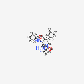 Cc1ccc(C2CC(NC(=O)c3ccccc3)CN(C(=O)C3(N)CCC3)C2)cc1C